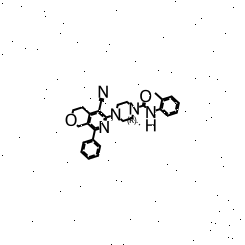 Cc1ccccc1NC(=O)N1CCN(c2nc(-c3ccccc3)c3c(c2C#N)CCOC3)C[C@H]1C